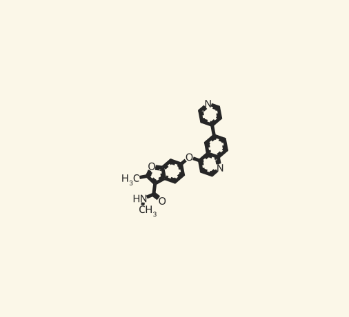 CNC(=O)c1c(C)oc2cc(Oc3ccnc4ccc(-c5ccncc5)cc34)ccc12